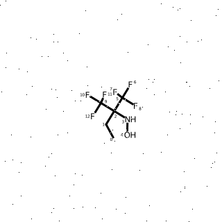 CCC(NO)(C(F)(F)F)C(F)(F)F